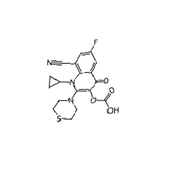 N#Cc1cc(F)cc2c(=O)c(OC(=O)O)c(N3CCSCC3)n(C3CC3)c12